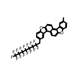 Cc1ccc2oc3ccc4c(ccc5oc6ccc(CC(F)(F)C(F)(F)C(F)(F)C(F)(F)C(F)(F)C(F)(F)C(F)(F)F)cc6c54)c3c2c1